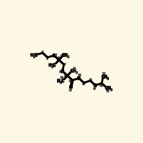 CCCSC(C)(C)COC(C)(C)C(=O)OCCOC(C)C